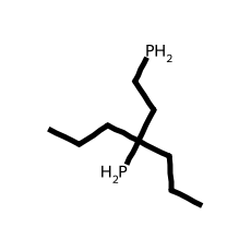 CCCC(P)(CCC)CCP